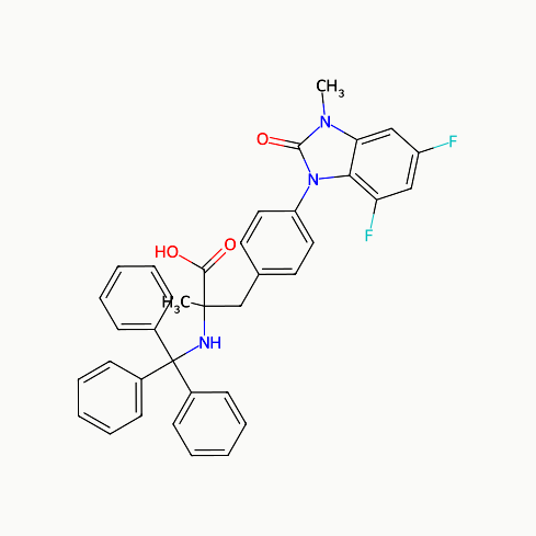 Cn1c(=O)n(-c2ccc(CC(C)(NC(c3ccccc3)(c3ccccc3)c3ccccc3)C(=O)O)cc2)c2c(F)cc(F)cc21